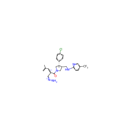 C=C(C)/C=C(\C=N/N)C(=O)N1CC(CNc2ccc(C(F)(F)F)cn2)[C@@H](c2ccc(Cl)cc2)C1